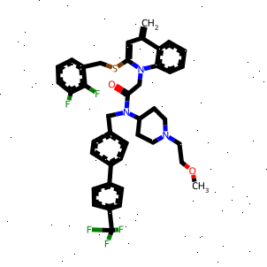 C=C1C=C(SCc2cccc(F)c2F)N(CC(=O)N(Cc2ccc(-c3ccc(C(F)(F)F)cc3)cc2)C2CCN(CCOC)CC2)c2ccccc21